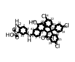 Nc1ccc(Nc2ccc3c(C(C(=O)O)C(c4ccc(Cl)cc4)(c4ccc(Cl)cc4)c4ccc(Cl)cc4)ccc(O)c3c2)cc1S(=O)(=O)O